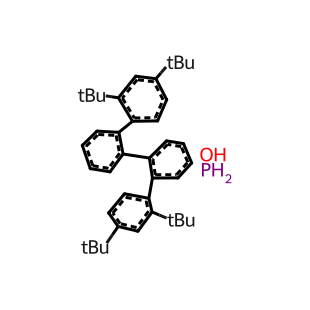 CC(C)(C)c1ccc(-c2ccccc2-c2ccccc2-c2ccc(C(C)(C)C)cc2C(C)(C)C)c(C(C)(C)C)c1.OP